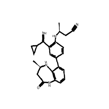 C[C@@H]1CC(=O)Nc2cccc(-c3ccc(N[C@@H](C)CC#N)c(C(=N)C4CC4)c3)c2N1